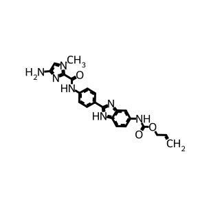 C=CCOC(=O)Nc1ccc2[nH]c(-c3ccc(NC(=O)c4nc(N)cn4C)cc3)nc2c1